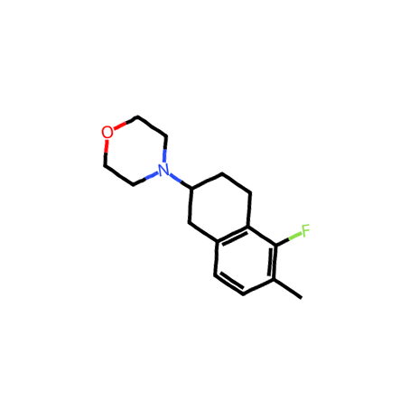 Cc1ccc2c(c1F)CCC(N1CCOCC1)C2